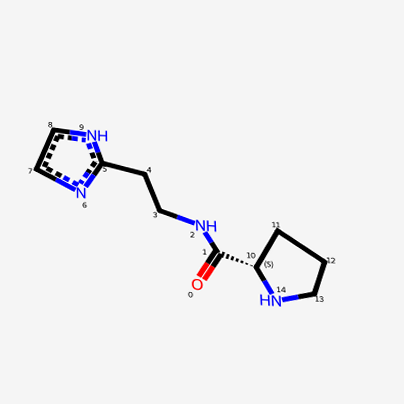 O=C(NCCc1ncc[nH]1)[C@@H]1CCCN1